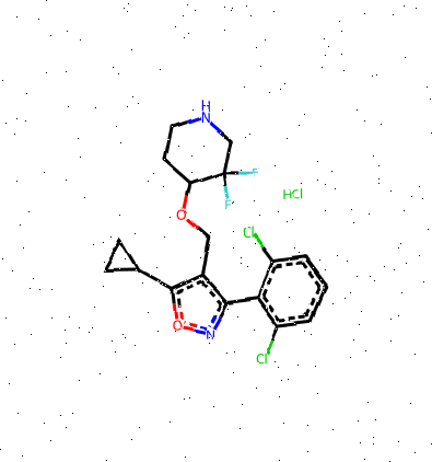 Cl.FC1(F)CNCCC1OCc1c(-c2c(Cl)cccc2Cl)noc1C1CC1